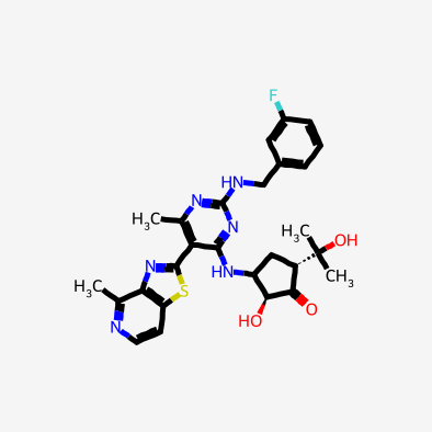 Cc1nc(NCc2cccc(F)c2)nc(NC2C[C@H](C(C)(C)O)C(=O)[C@H]2O)c1-c1nc2c(C)nccc2s1